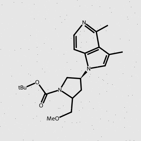 COCC1C[C@H](n2cc(C)c3c(C)nccc32)CN1C(=O)OC(C)(C)C